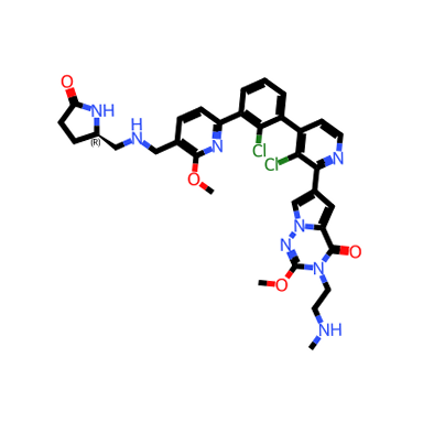 CNCCn1c(OC)nn2cc(-c3nccc(-c4cccc(-c5ccc(CNC[C@H]6CCC(=O)N6)c(OC)n5)c4Cl)c3Cl)cc2c1=O